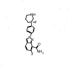 NC(=O)c1c(F)ccc2cn(-c3ccc([C@]4(F)CCCNC4)cc3)nc12